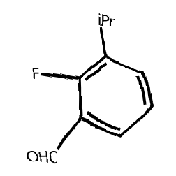 CC(C)c1cccc(C=O)c1F